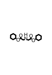 O=C(CNCC(=O)OC1CCCCC1)OC1CCCCC1